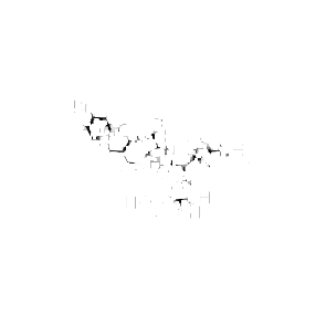 CC(C)(O/N=C(\C(=O)N[C@@H]1C(=O)N2C(C(=O)[O-])=C(C[n+]3ccc(Br)cc3)CS[C@H]12)c1nsc(N)n1)C(=O)O